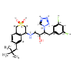 CC(C)(C)Cc1ccc2c(c1)C(NCC(O)C(Cc1cc(F)cc(F)c1)n1cnnn1)CS(=O)(=O)C2